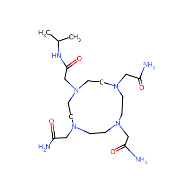 CC(C)NC(=O)CN1CCN(CC(N)=O)CCN(CC(N)=O)CCN(CC(N)=O)CC1